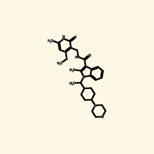 CSc1cc(C)[nH]c(=O)c1CNC(=O)c1c(C)n(C(C)C2CCC(N3CCOCC3)CC2)c2ccccc12